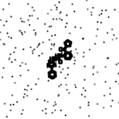 O=C(Nc1nc(-c2ccccc2)ns1)Nc1ccccc1C(=O)C1CCCC1